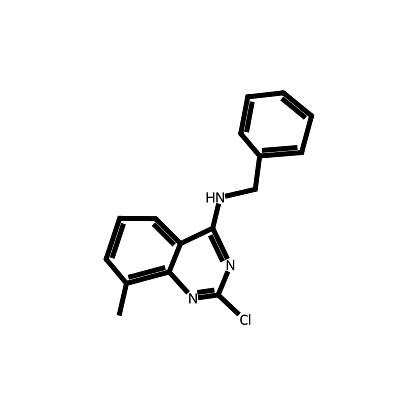 Cc1cccc2c(NCc3ccccc3)nc(Cl)nc12